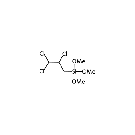 CO[Si](CC(Cl)C(Cl)Cl)(OC)OC